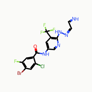 N=C/C=N\Nc1ncc(NC(=O)c2cc(F)c(Br)cc2Cl)cc1C(F)(F)F